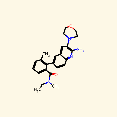 CCN(C)C(=O)c1cccc(C)c1-c1ccc2nc(N)c(N3CCOCC3)cc2c1